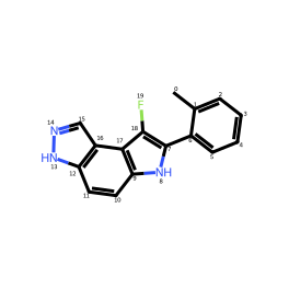 Cc1ccccc1-c1[nH]c2ccc3[nH]ncc3c2c1F